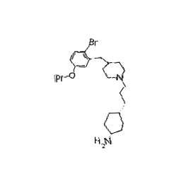 CC(C)Oc1ccc(Br)c(CC2CCN(CCC[C@H]3CC[C@@H](N)CC3)CC2)c1